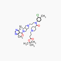 Cc1ccc(N(CCCN2CC3CN(C(=O)c4c(C)ncnc4C)CC3C2)C(=O)C2CCN(CCCC(=O)OC(C)(C)C)CC2)cc1Cl